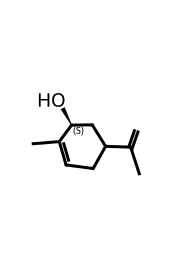 C=C(C)C1CC=C(C)[C@@H](O)C1